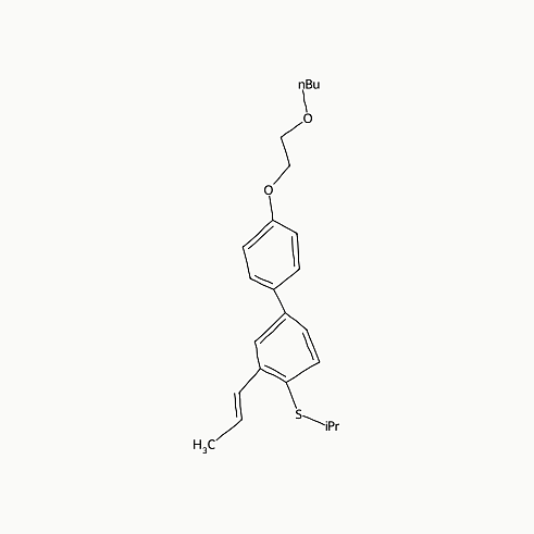 C/C=C/c1cc(-c2ccc(OCCOCCCC)cc2)ccc1SC(C)C